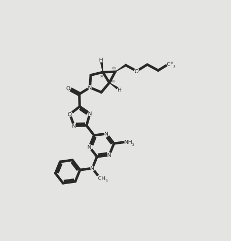 CN(c1ccccc1)c1nc(N)nc(-c2noc(C(=O)N3C[C@@H]4[C@@H](COCCC(F)(F)F)[C@@H]4C3)n2)n1